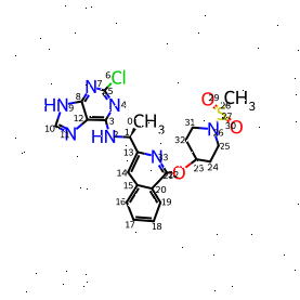 C[C@H](Nc1nc(Cl)nc2[nH]cnc12)c1cc2ccccc2c(OC2CCN(S(C)(=O)=O)CC2)n1